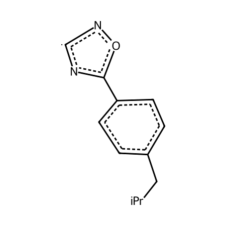 CC(C)Cc1ccc(-c2n[c]no2)cc1